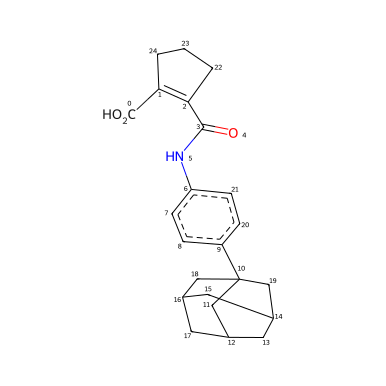 O=C(O)C1=C(C(=O)Nc2ccc(C34CC5CC(CC(C5)C3)C4)cc2)CCC1